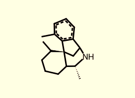 Cc1cccc2c1[C@]13CC2N[C@H](C)C1CCCC3C